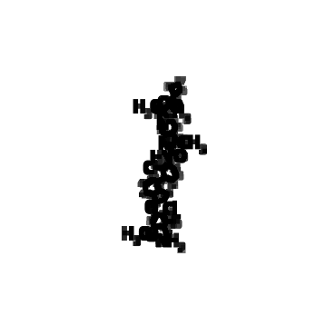 COc1cc(OC2CCc3c(-c4cccc(NC(=O)c5nc6c(n5C)CCN(CC(C)(C)OC(=O)C5CCC5)C6)c4Cl)cccc32)c(Cl)c(F)c1CN